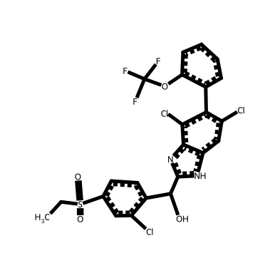 CCS(=O)(=O)c1ccc(C(O)c2nc3c(Cl)c(-c4ccccc4OC(F)(F)F)c(Cl)cc3[nH]2)c(Cl)c1